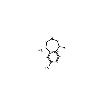 CC1CNCCc2cc(O)ccc21.Cl